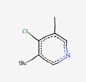 Cc1cncc(C(C)(C)C)c1Cl